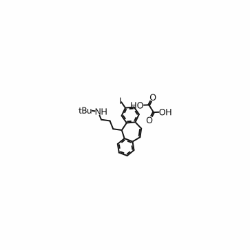 CC(C)(C)NCCCC1c2ccccc2C=Cc2ccc(I)cc21.O=C(O)C(=O)O